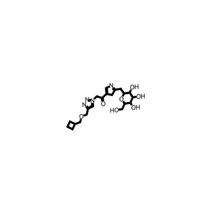 O=C(Cn1cc(COCC2CCC2)nn1)C1=CN=C(CC2OC(CO)C(O)C(O)C2O)C1